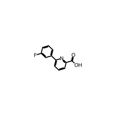 O=C(O)c1cccc(-c2cccc(F)c2)n1